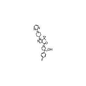 CC1(c2c(C(=O)N3CCC(CO)(c4ccc(F)cc4)C3)cnn2C2CCN(c3ncccn3)CC2)CC1